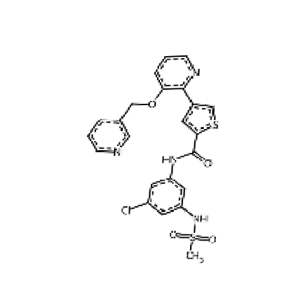 CS(=O)(=O)Nc1cc(Cl)cc(NC(=O)c2cc(-c3ncccc3OCc3cccnc3)cs2)c1